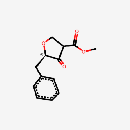 COC(=O)C1CO[C@H](Cc2ccccc2)C1=O